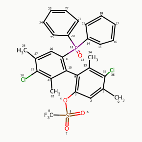 Cc1cc(OS(=O)(=O)C(F)(F)F)c(-c2c(P(=O)(c3ccccc3)c3ccccc3)cc(C)c(Cl)c2C)c(C)c1Cl